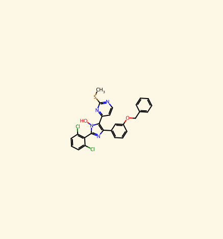 CSc1nccc(-c2c(-c3cccc(OCc4ccccc4)c3)nc(-c3c(Cl)cccc3Cl)n2O)n1